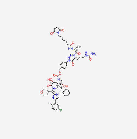 CC(C)[C@H](NC(=O)CCCCCN1C(=O)C=CC1=O)C(=O)N[C@@H](CCCNC(N)=O)C(=O)Nc1ccc(COC(=O)N2C[C@@H](O)[C@@H]3CN([C@@H](c4nc(-c5cc(F)ccc5F)cn4Cc4ccccc4)C4CCOCC4)C(=O)[C@@H](O)C32)cc1